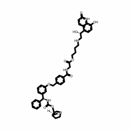 O=C(CNC(=O)c1ccc(COc2cccc([C@@H](NC(=O)O[C@H]3CN4CCC3CC4)c3ccccc3)c2)cc1)OCCCCNC[C@H](O)c1ccc(O)c2[nH]c(=O)ccc12